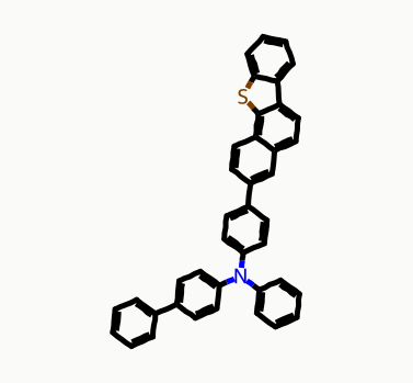 c1ccc(-c2ccc(N(c3ccccc3)c3ccc(-c4ccc5c(ccc6c7ccccc7sc56)c4)cc3)cc2)cc1